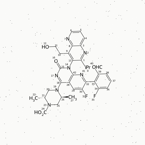 CC(C)c1nc2cccnc2c(CCO)c1-n1c(=O)nc(N2C[C@@H](C)N(C(=O)O)C[C@@H]2C)c2cc(F)c(-c3c(F)cccc3C=O)nc21